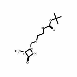 CC(C)(C)OC(=O)NCCSC[C@@H]1NC(=O)[C@H]1N